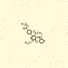 CCn1nc(-c2ccc(C(=O)OC)cc2)c(C(C)=O)c(Nc2cccnc2)c1=O